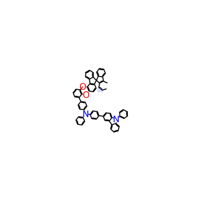 C/C=C\C1=C(C)c2ccccc2C12c1ccccc1-c1c2ccc2c1Oc1cccc(-c3ccc(N(c4ccccc4)c4ccc(-c5ccc6c(c5)c5ccccc5n6-c5ccccc5)cc4)cc3)c1O2